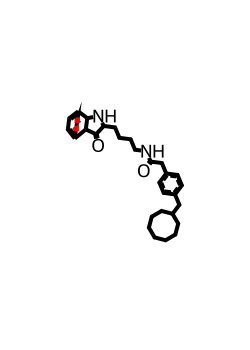 O=C(Cc1ccc(CC2CCCCCCC2)cc1)NCCCCC1NC2C3=CC=C(/C=C\C=C/3)C2C1=O